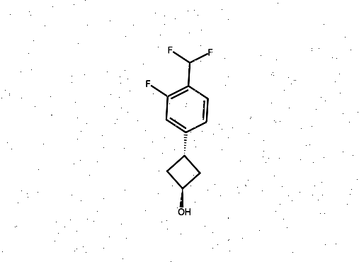 O[C@H]1C[C@H](c2ccc(C(F)F)c(F)c2)C1